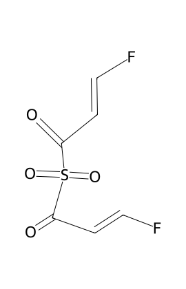 O=C(C=CF)S(=O)(=O)C(=O)C=CF